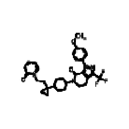 COc1ccc(-n2nc(C(F)(F)F)c3c2C(=O)N(c2ccc(C4(CCn5ccccc5=O)CC4)cc2)CC3)cc1